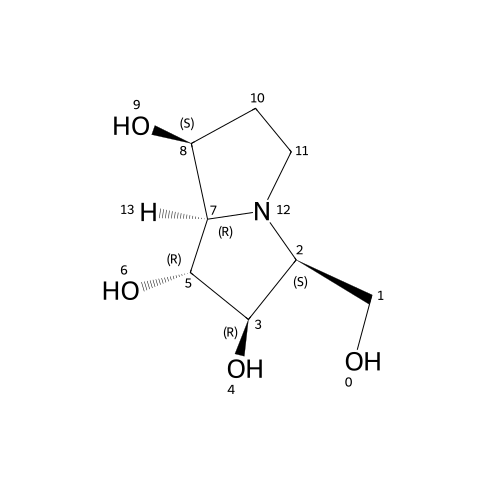 OC[C@H]1[C@@H](O)[C@H](O)[C@H]2[C@@H](O)CCN21